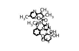 COc1cccc(OC)c1-n1c(NS(=O)(=O)[C@@H](C)[C@H](C)c2ncc(C)cn2)nnc1[C@H]1CCCCS1(O)O